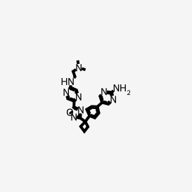 CN(C)CCNc1cnc(-c2nc(C3(c4ccc(-c5cnc(N)nc5)cc4)CCC3)no2)cn1